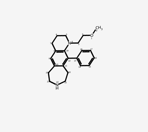 COCCN1CCCc2cc3c(c(-c4ccccc4)c21)CCNCC3